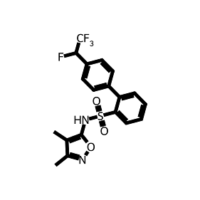 Cc1noc(NS(=O)(=O)c2ccccc2-c2ccc(C(F)C(F)(F)F)cc2)c1C